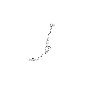 CCCCCCCCCCCCCC[C@@H]1CO[C@@H](COCCCCCCO)C1